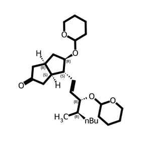 CCCC[C@@H](C)[C@H](C=C[C@@H]1[C@H]2CC(=O)C[C@H]2C[C@H]1OC1CCCCO1)OC1CCCCO1